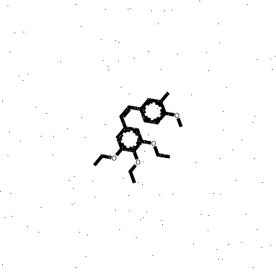 CCOc1cc(/C=C\c2ccc(OC)c(C)c2)cc(OCC)c1OCC